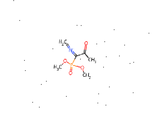 C=[N+]=C(C(C)=O)P(=O)(OC)OC